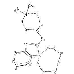 C[N+]1(C)CCC(OC(=O)C2(c3ccccc3)CCCCCCC2)CC1